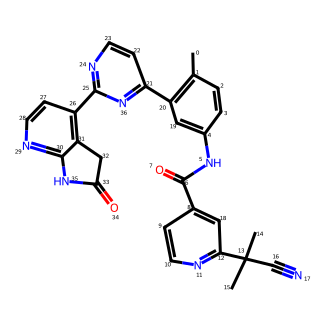 Cc1ccc(NC(=O)c2ccnc(C(C)(C)C#N)c2)cc1-c1ccnc(-c2ccnc3c2CC(=O)N3)n1